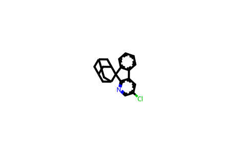 Clc1cnc2c(c1)-c1ccccc1C21C2CC3CC(C2)CC1C3